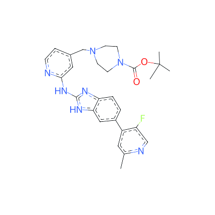 Cc1cc(-c2ccc3nc(Nc4cc(CN5CCN(C(=O)OC(C)(C)C)CC5)ccn4)[nH]c3c2)c(F)cn1